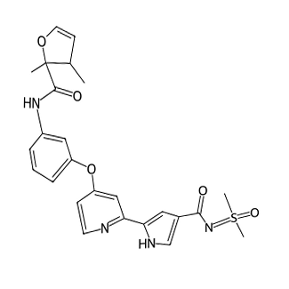 CC1C=COC1(C)C(=O)Nc1cccc(Oc2ccnc(-c3cc(C(=O)N=S(C)(C)=O)c[nH]3)c2)c1